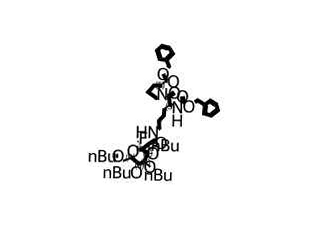 CCCCOC[C@H]1O[C@@](C)(C(F)(F)C(=O)NCCCC[C@H](NC(=O)OCc2ccccc2)C(=O)N2CCC[C@H]2C(=O)OCc2ccccc2)[C@H](OCCCC)[C@@H](OCCCC)[C@H]1OCCCC